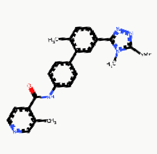 CSc1nnc(-c2ccc(C)c(-c3ccc(NC(=O)c4ccncc4C)cc3)c2)n1C